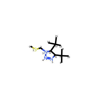 CSCN1N=NC(C(C)(C)C)C1C(C)(C)C